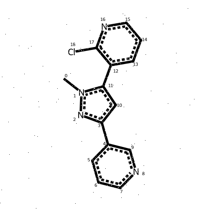 Cn1nc(-c2cccnc2)cc1-c1cccnc1Cl